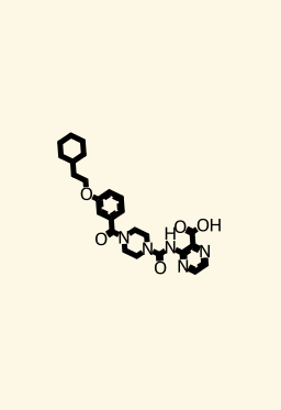 O=C(O)c1nccnc1NC(=O)N1CCN(C(=O)c2cccc(OCCC3CCCCC3)c2)CC1